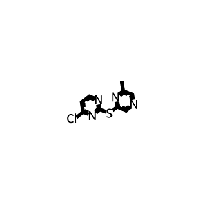 Cc1cncc(Sc2nccc(Cl)n2)n1